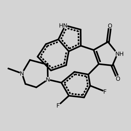 CN1CCN(c2cc(C3=C(c4c[nH]c5ccccc45)C(=O)NC3=O)c(F)cc2F)CC1